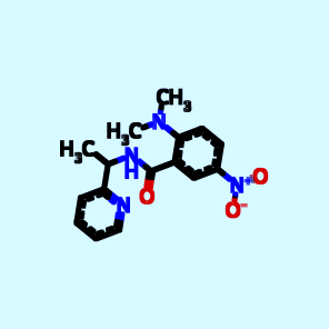 CC(NC(=O)c1cc([N+](=O)[O-])ccc1N(C)C)c1ccccn1